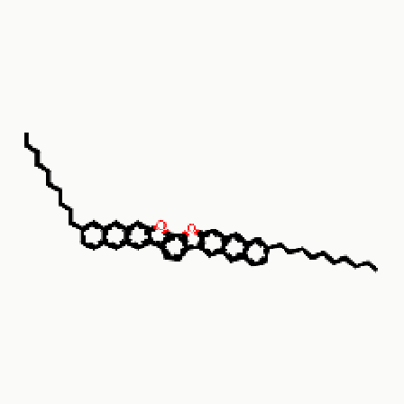 CCCCCCCCCCc1ccc2cc3cc4c(cc3cc2c1)oc1c4ccc2c3cc4cc5ccc(CCCCCCCCCC)cc5cc4cc3oc21